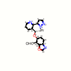 CC(C)n1nccc1-c1ncccc1COc1ccc2ncoc2c1C=O